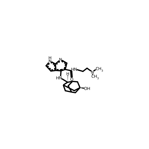 CN(C)CCNC(=O)c1cnc2[nH]ccc2c1N[C@H]1C2CC3CC1C[C@@](O)(C3)C2